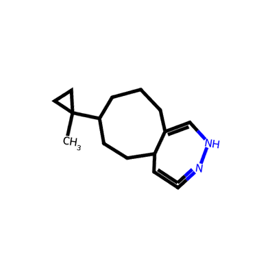 CC1(C2CCCC3=CNN=C=CC3CC2)CC1